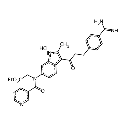 CCOC(=O)CN(C(=O)c1cccnc1)c1ccc2c(C(=O)CCc3ccc(C(=N)N)cc3)c(C)[nH]c2c1.Cl